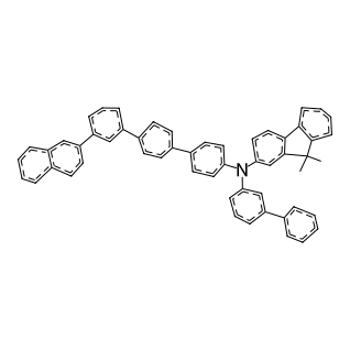 CC1(C)c2ccccc2-c2ccc(N(c3ccc(-c4ccc(-c5cccc(-c6ccc7ccccc7c6)c5)cc4)cc3)c3cccc(-c4ccccc4)c3)cc21